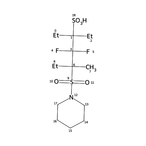 CCC(CC)(C(F)(F)C(C)(CC)S(=O)(=O)N1CCCCC1)S(=O)(=O)O